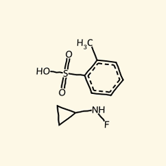 Cc1ccccc1S(=O)(=O)O.FNC1CC1